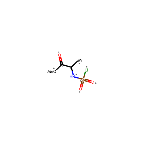 COC(=O)C(NS(=O)(=O)Cl)C(C)C